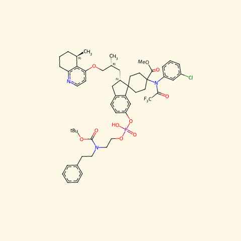 COC(=O)C1(N(C(=O)C(F)(F)F)c2cccc(Cl)c2)CCC2(CC1)c1cc(OP(=O)(O)OCCN(CCc3ccccc3)C(=O)OC(C)(C)C)ccc1C[C@@H]2C[C@@H](C)COc1ccnc2c1[C@H](C)CCC2